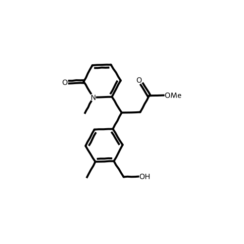 COC(=O)CC(c1ccc(C)c(CO)c1)c1cccc(=O)n1C